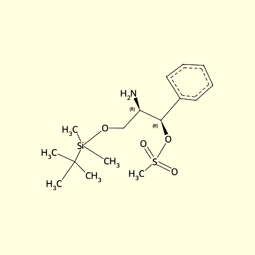 CC(C)(C)[Si](C)(C)OC[C@@H](N)[C@H](OS(C)(=O)=O)c1ccccc1